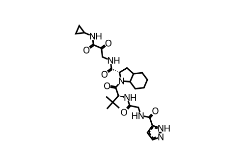 CC(C)(C)[C@H](NC(=O)CNC(=O)c1ccn[nH]1)C(=O)N1C2CCCCC2C[C@H]1C(=O)NCC(=O)C(=O)NC1CC1